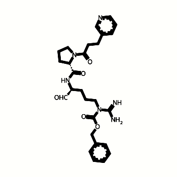 N=C(N)N(CCC[C@@H](C=O)NC(=O)[C@@H]1CCCN1C(=O)CCc1cccnc1)C(=O)OCc1ccccc1